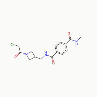 CNC(=O)c1ccc(C(=O)NCC2CN(C(=O)CCl)C2)cc1